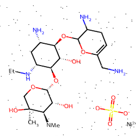 CCN[C@@H]1C[C@H](N)[C@@H](OC2OC(CN)=CCC2N)[C@H](O)[C@H]1O[C@H]1OC[C@](C)(O)[C@H](NC)[C@H]1O.O=S(=O)([O-])[O-].[Ni+2]